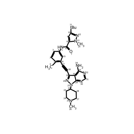 Cc1ccc(NC(=O)c2cc(C(C)(C)C)nn2C)cc1C#Cc1nn(C2CCN(C)CC2)c2ncnc(N)c12